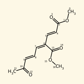 COC(=O)C=CC(=CC=CC(C)=O)C(=O)OC